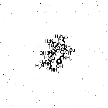 CC[C@H](C)[C@H](NC(=O)[C@@H](N)Cc1ccc(O)cc1)C(=O)N[C@@H](CCC(N)=O)C(=O)N[C@@H](CC(N)=O)C(=O)N[C@@H](CNC=O)C(=O)N(C)CC(=O)N[C@@H](CCC(N)=O)C(=O)NCC(N)=O